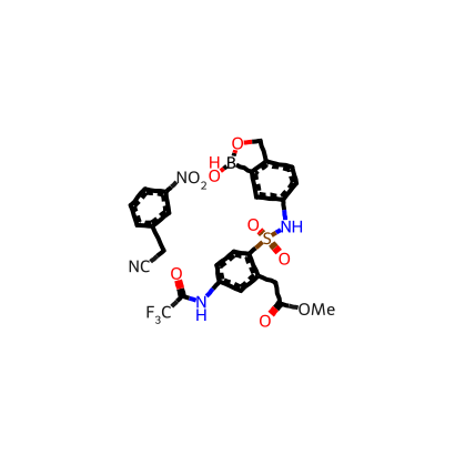 COC(=O)Cc1cc(NC(=O)C(F)(F)F)ccc1S(=O)(=O)Nc1ccc2c(c1)B(O)OC2.N#CCc1cccc([N+](=O)[O-])c1